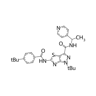 CC(NC(=O)c1nn(C(C)(C)C)c2nc(NC(=O)c3ccc(C(C)(C)C)cc3)sc12)c1ccncc1